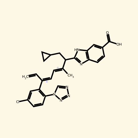 C=C/C(=C\C=C(/C)C(CC1CC1)c1nc2ccc(C(=O)O)cc2[nH]1)c1cc(Cl)ccc1-n1cnnn1